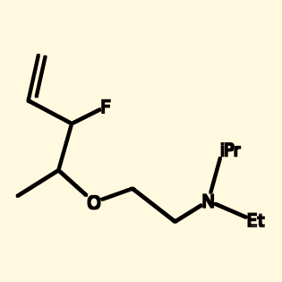 C=CC(F)C(C)OCCN(CC)C(C)C